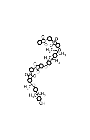 CCCC(C)(Oc1ccc2c(c1)C(=O)N(c1cccc(N3C(=O)c4ccccc4C3=O)c1)C2=O)c1ccc(C(C)(C)c2ccc(Oc3ccc4c(c3)C(=O)N(c3cccc(N5C(=O)c6ccc(C(C)Oc7ccc(C(C)(C)c8ccc(O)cc8)cc7)cc6C5=O)c3)C4=O)cc2)cc1